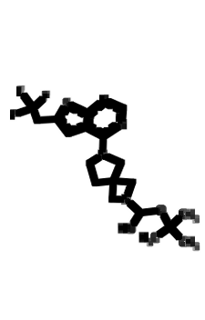 CC(C)(C)OC(O)N1CC2(CCN(c3ncnc4sc(CC(F)(F)F)cc34)C2)C1